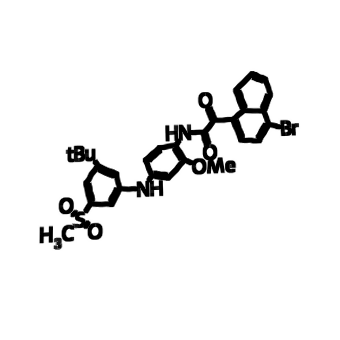 COc1cc(Nc2cc(C(C)(C)C)cc(S(C)(=O)=O)c2)ccc1NC(=O)C(=O)c1ccc(Br)c2ccccc12